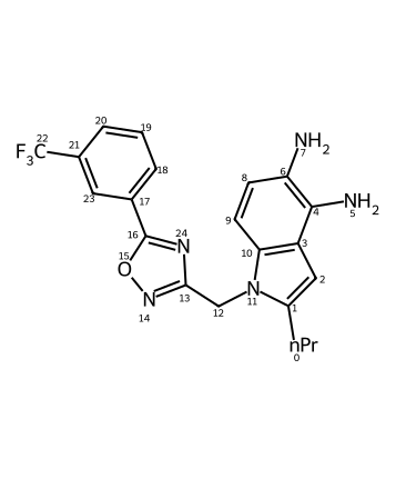 CCCc1cc2c(N)c(N)ccc2n1Cc1noc(-c2cccc(C(F)(F)F)c2)n1